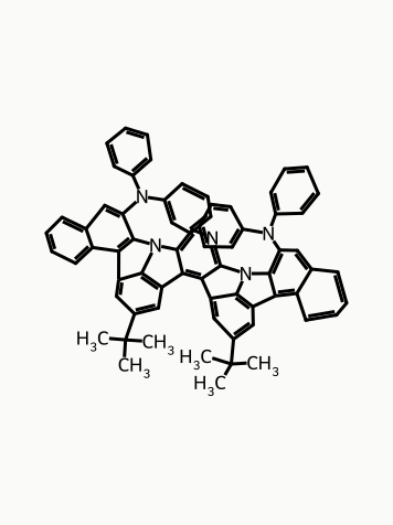 CC(C)(C)c1cc2c3c4c5cc(C(C)(C)C)cc6c7c8ccccc8cc(N(c8ccccc8)c8ccccc8)c7n(c4ncc3n3c4c(N(c7ccccc7)c7ccccc7)cc7ccccc7c4c(c1)c23)c56